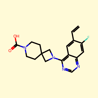 C=Cc1cc2c(N3CC4(CCN(C(=O)O)CC4)C3)ncnc2cc1F